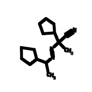 CC(/N=N/C(C)(C#N)C1CCCC1)C1CCCC1